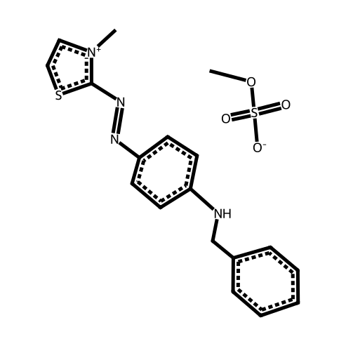 COS(=O)(=O)[O-].C[n+]1ccsc1N=Nc1ccc(NCc2ccccc2)cc1